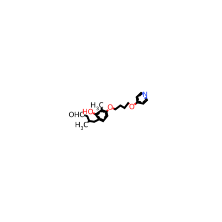 Cc1c(OCCCCOc2ccncc2)ccc(CC(C)CC=O)c1O